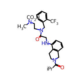 CC(C)C(=O)N1CCc2c(cccc2NCC(=O)N(CCN(C)C(=O)O)Cc2ccccc2C(F)(F)F)C1